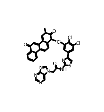 CC1C=c2c(ccc3c2=CC(=O)c2ccccc2-3)C(C)C1=O.O=C(Cn1cnc2ncncc21)Nc1nc(-c2cc(Cl)c(Cl)c(Cl)c2)cs1